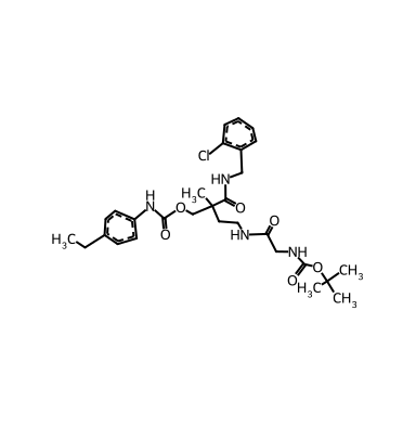 CCc1ccc(NC(=O)OCC(C)(CCNC(=O)CNC(=O)OC(C)(C)C)C(=O)NCc2ccccc2Cl)cc1